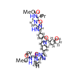 COC(=O)N[C@H](C(=O)N1CCC[C@H]1c1ncc(-c2ccc3c(c2)OC(c2ccc4c(c2)OCCC4)n2c-3cc3cc(-c4cnc([C@@H]5C[C@H]6CC6N5C(=O)[C@@H](NC(=O)OC)C(C)C)[nH]4)ccc32)[nH]1)C(C)C